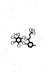 Cc1ccc(C)c(C(=O)CCC(=O)O)c1.Oc1c(Cl)c(Cl)c(Cl)c(Cl)c1Cl